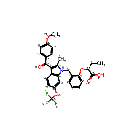 CC[C@H](Oc1ccccc1Cn1c(C)c(C(=O)c2ccc(OC)cc2)c2ccc(OC(F)(F)F)cc21)C(=O)O